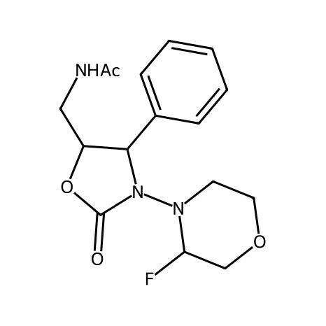 CC(=O)NCC1OC(=O)N(N2CCOCC2F)C1c1ccccc1